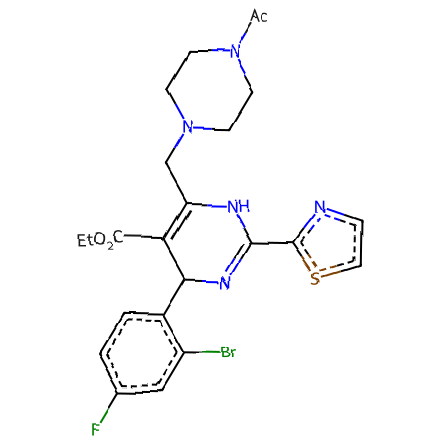 CCOC(=O)C1=C(CN2CCN(C(C)=O)CC2)NC(c2nccs2)=NC1c1ccc(F)cc1Br